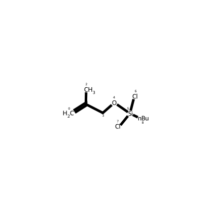 C=C(C)CO[Si](Cl)(Cl)CCCC